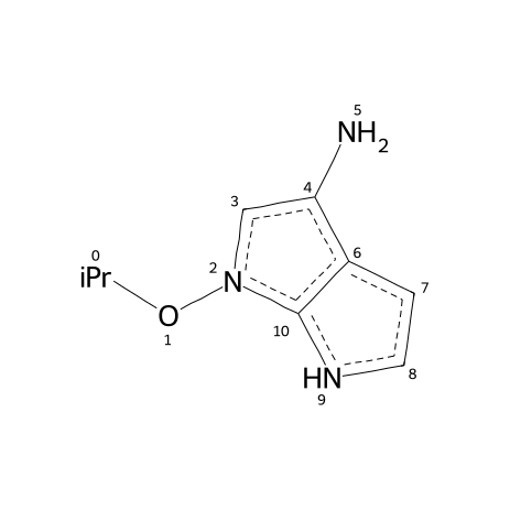 CC(C)On1cc(N)c2cc[nH]c21